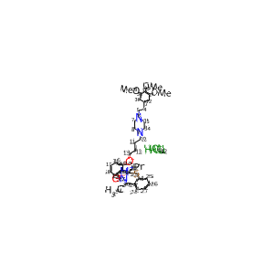 COc1cc(CCN2CCN(CCCCOc3ccccc3C3(C(C)C)Sc4ccccc4C(C)[NH+]3[O-])CC2)cc(OC)c1OC.Cl.Cl